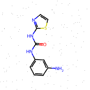 Nc1cccc(NC(=O)Nc2nccs2)c1